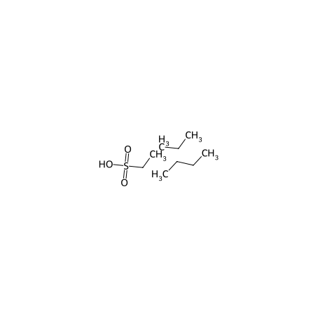 CCC.CCCC.CCS(=O)(=O)O